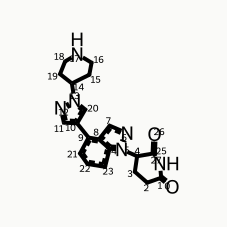 O=C1CCC(n2ncc3c(-c4cnn(C5CCNCC5)c4)cccc32)C(=O)N1